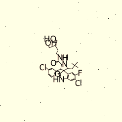 CC(C)(C)CC1NC(C(=O)NCCC(CO)CO)C(c2cccc(Cl)c2)C12C(=O)Nc1cc(Cl)c(F)cc12